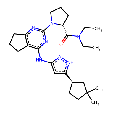 CCN(CC)C(=O)[C@H]1CCCN1c1nc2c(c(Nc3cc([C@@H]4CCC(C)(C)C4)[nH]n3)n1)CCC2